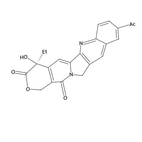 CC[C@@]1(O)C(=O)OCc2c1cc1n(c2=O)Cc2cc3cc(C(C)=O)ccc3nc2-1